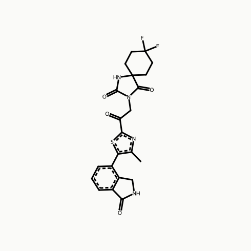 Cc1nc(C(=O)CN2C(=O)NC3(CCC(F)(F)CC3)C2=O)sc1-c1cccc2c1CNC2=O